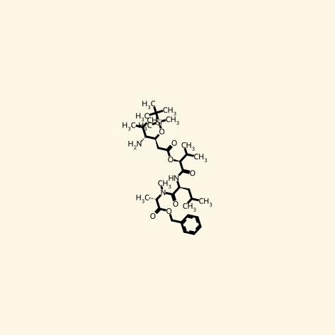 CC(C)C[C@H](NC(=O)[C@@H](OC(=O)C[C@H](O[Si](C)(C)C(C)(C)C)[C@H](N)C(C)C)C(C)C)C(=O)N(C)[C@@H](C)C(=O)OCc1ccccc1